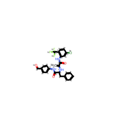 C=C(NC(Cc1ccccc1)C(=O)Nc1ccc(C=O)cc1)C(=O)Nc1cc(Cl)ccc1C(F)(F)F